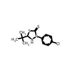 CC(C)(C)C1NN(c2ccc(Cl)cc2)C(=S)S1